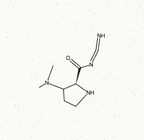 CN(C)C1CCN[C@@H]1C(=O)N=C=N